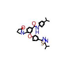 CC(C)c1ccc(NC(=O)c2ccc(CN3CCCC3=O)c(Oc3ccc(-c4nnc(C(C)C)s4)cc3)c2)cc1